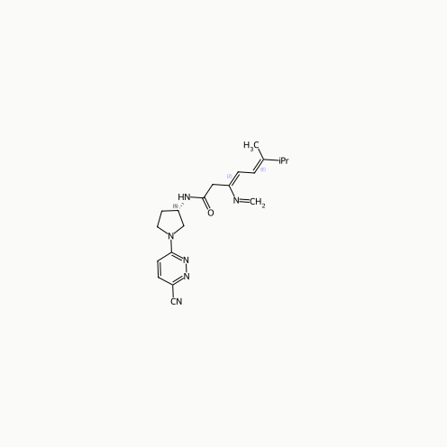 C=N/C(=C\C=C(/C)C(C)C)CC(=O)N[C@H]1CCN(c2ccc(C#N)nn2)C1